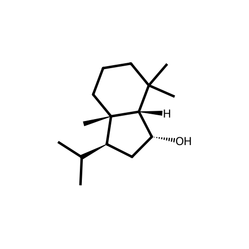 CC(C)[C@@H]1C[C@@H](O)[C@H]2C(C)(C)CCC[C@@]12C